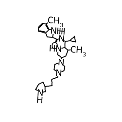 Cc1cccc2c1NC(C(=O)NC(C1CC1)C1NCC(N3CCN(CCCC4CCCNC4)CC3)CC1C)C2